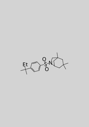 CCC(C)(C)c1ccc(S(=O)(=O)N2CC3(C)CC2CC(C)(C)C3)cc1